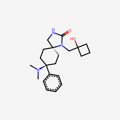 CN(C)[C@]1(c2ccccc2)CC[C@]2(CC1)CNC(=O)N2CC1(O)CCC1